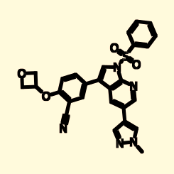 Cn1cc(-c2cnc3c(c2)c(-c2ccc(OC4COC4)c(C#N)c2)cn3S(=O)(=O)c2ccccc2)cn1